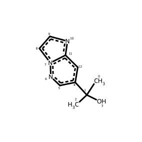 CC(C)(O)c1cnn2ccnc2c1